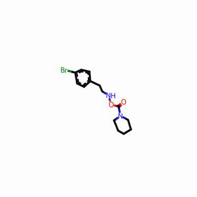 O=C(ONCCc1ccc(Br)cc1)N1CCCCC1